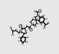 CC(=O)N1CC2(CCN(C(=O)CC3SC(c4ccccc4)N(CCC(C)C)C3=O)CC2)c2cc(C(C)C)ccc21